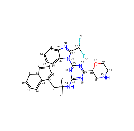 CC(C)(Cc1cccc2ccccc12)Nc1nc(C2CNCCO2)nc(-n2c(C(F)F)nc3ccccc32)n1